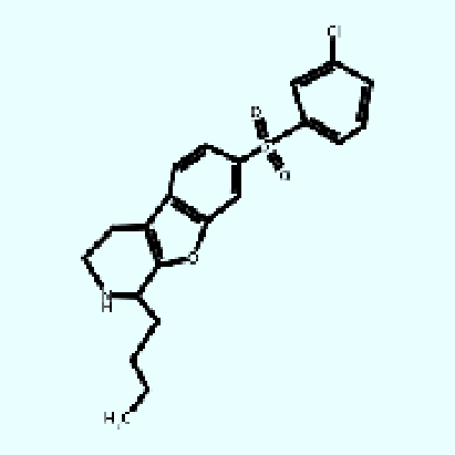 CCCCC1NCCc2c1oc1cc(S(=O)(=O)c3cccc(Cl)c3)ccc21